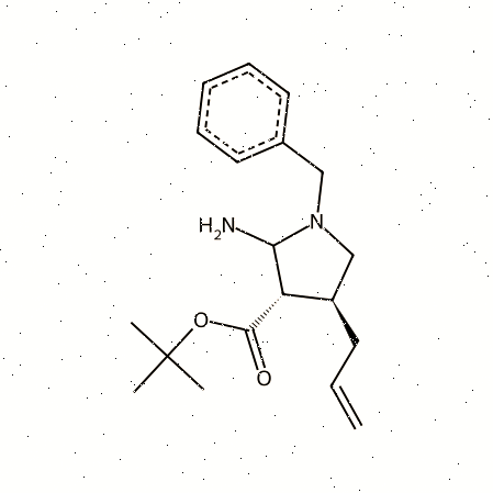 C=CC[C@@H]1CN(Cc2ccccc2)C(N)[C@H]1C(=O)OC(C)(C)C